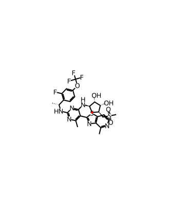 Cc1nc(N[C@H](C)c2ccc(OC(F)(F)F)cc2F)nc(N[C@@H]2C[C@H](CS(C)(=O)=O)[C@@H](O)[C@H]2O)c1-c1nc2c(C)nccc2s1